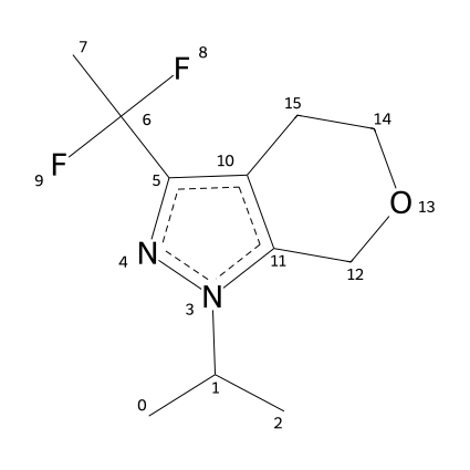 CC(C)n1nc(C(C)(F)F)c2c1COCC2